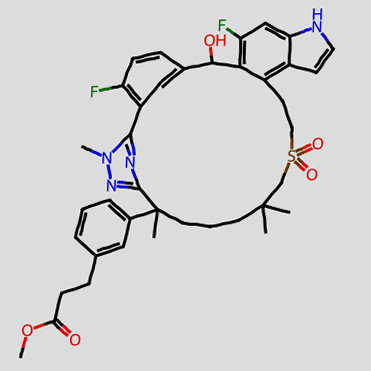 COC(=O)CCc1cccc(C2(C)CCCC(C)(C)CS(=O)(=O)CCc3c(c(F)cc4[nH]ccc34)C(O)c3ccc(F)c(c3)-c3nc2nn3C)c1